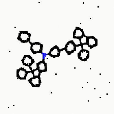 c1ccc(-c2ccc(N(c3ccc(-c4ccc(C5(c6ccccc6)c6ccccc6-c6ccccc65)cc4)cc3)c3ccc4c(c3)C(c3ccccc3)(c3ccccc3)c3ccccc3-4)cc2)cc1